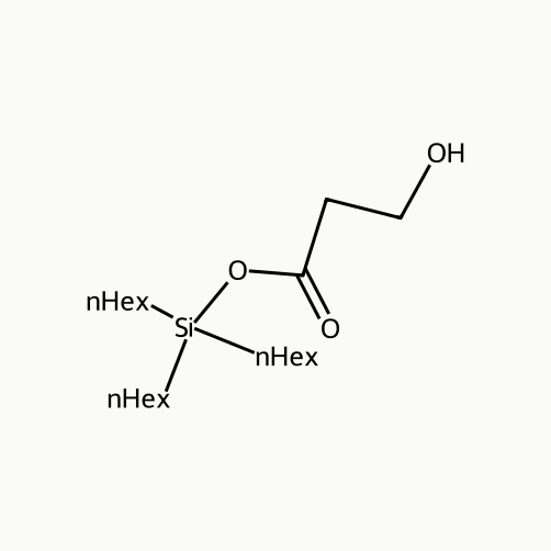 CCCCCC[Si](CCCCCC)(CCCCCC)OC(=O)CCO